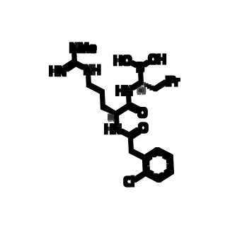 CNC(=N)NCCC[C@H](NC(=O)Cc1ccccc1Cl)C(=O)N[C@@H](CC(C)C)B(O)O